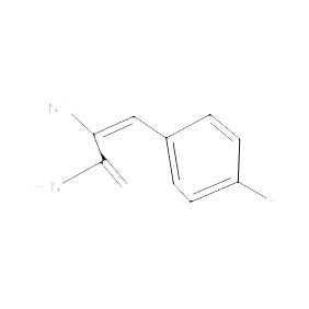 N#C/C(=C/c1ccc(F)cc1)C(N)=O